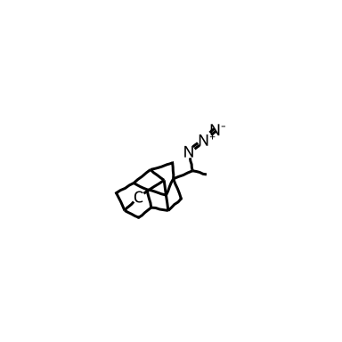 CC(N=[N+]=[N-])C12CC3C4CC5CC3C(C1)C(C5)C4C2